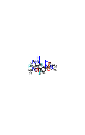 CN(c1c(F)cnc2[nH]cc(C(=O)c3c(F)ccc(NS(=O)(=O)N4CCCC4)c3F)c12)C1CC1